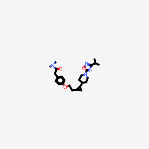 CC(C)c1noc(N2CCC(C3CC3CCOc3ccc(CC(=O)N(C)C)cc3)CC2)n1